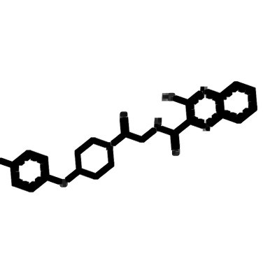 O=C(NCC(=O)N1CCC(Oc2ccc(F)cc2)CC1)c1nc2ccccc2nc1O